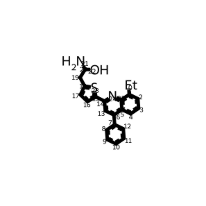 CCc1cccc2c(-c3ccccc3)cc(-c3ccc(CC(N)O)s3)nc12